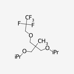 CC(C)OCC(C)(COCC(F)(F)C(F)(F)F)COC(C)C